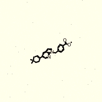 COC(=O)c1ccc(Cn2ccc3cc(C4=CCC(C)(C)CC4)cnc32)cc1